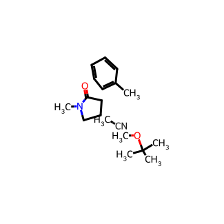 CC#N.CN1CCCC1=O.COC(C)(C)C.Cc1ccccc1